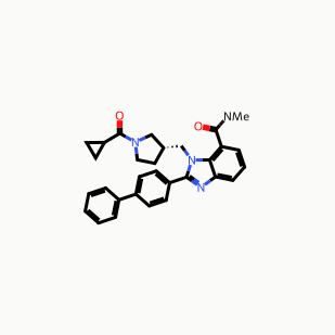 CNC(=O)c1cccc2nc(-c3ccc(-c4ccccc4)cc3)n(C[C@@H]3CCN(C(=O)C4CC4)C3)c12